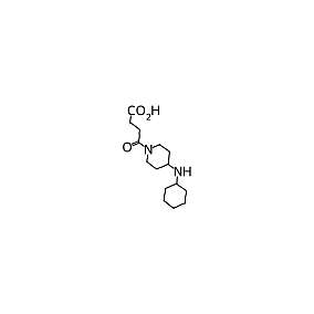 O=C(O)CCC(=O)N1CCC(NC2CCCCC2)CC1